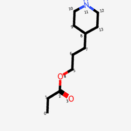 CCC(=O)OCCCC1CCNCC1